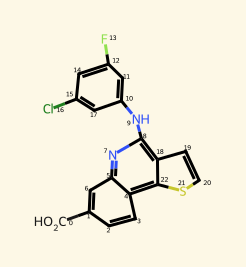 O=C(O)c1ccc2c(c1)nc(Nc1cc(F)cc(Cl)c1)c1ccsc12